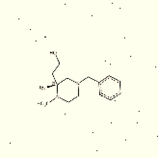 CC(C)(C)[C@@]1(CCO)CN(Cc2ccccc2)CCN1C(=O)O